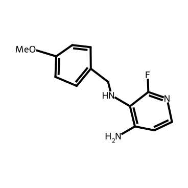 COc1ccc(CNc2c(N)ccnc2F)cc1